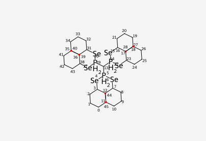 C1CCC([Se][PH2]([Se]C2CCCCC2)C([PH2]([Se]C2CCCCC2)[Se]C2CCCCC2)[PH2]([Se]C2CCCCC2)[Se]C2CCCCC2)CC1